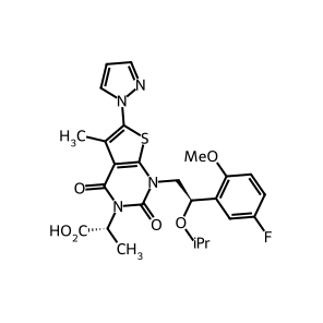 COc1ccc(F)cc1[C@H](Cn1c(=O)n([C@H](C)C(=O)O)c(=O)c2c(C)c(-n3cccn3)sc21)OC(C)C